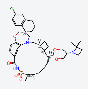 C[C@@H]1[C@@H](C)CCC[C@H]([C@H]2OC[C@@H](N3CCC3(C)C)CO2)[C@@H]2CC[C@H]2CN2C[C@@]3(CCCc4cc(Cl)ccc43)COc3ccc(cc32)C(=O)NS1(=O)=O